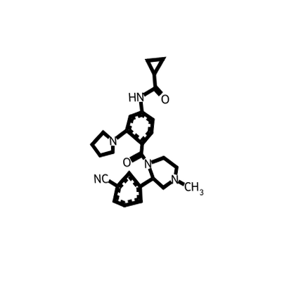 CN1CCN(C(=O)c2ccc(NC(=O)C3CC3)cc2N2CCCC2)C(c2cccc(C#N)c2)C1